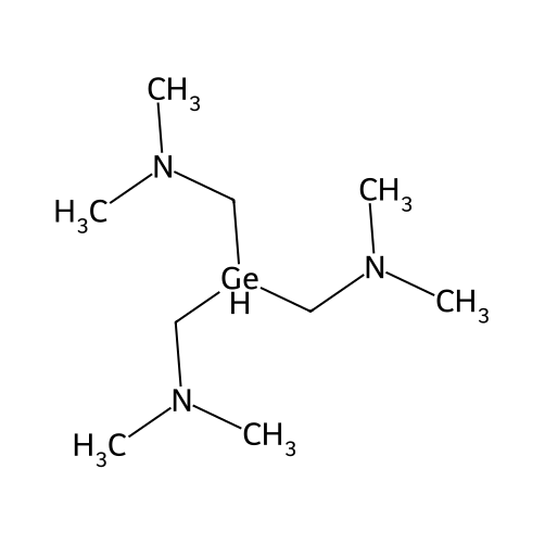 CN(C)[CH2][GeH]([CH2]N(C)C)[CH2]N(C)C